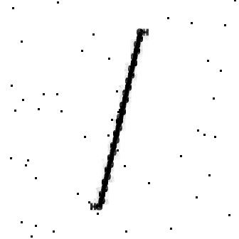 OCCOCCOCCOCCOCCOCCOCCOCCOCCOCCOCCOCCOCCOCCOSOCCOCCOCCOCCOCCOCCOCCOCCOCCOCCOCCOCCOCCOCCO